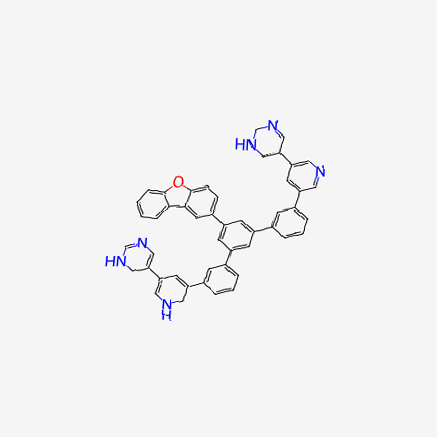 C1=NC=C(C2=CNCC(c3cccc(-c4cc(-c5cccc(-c6cncc(C7C=NCNC7)c6)c5)cc(-c5ccc6oc7ccccc7c6c5)c4)c3)=C2)CN1